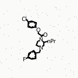 CCCC1CN(Cc2ccc(F)cc2)CCN1C(=O)COc1ccc(Cl)cc1